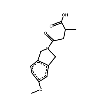 COc1ccc2c(c1)CN(C(=O)CC(C)C(=O)O)C2